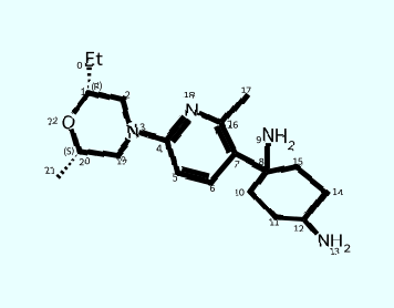 CC[C@@H]1CN(c2ccc(C3(N)CCC(N)CC3)c(C)n2)C[C@H](C)O1